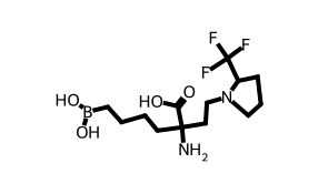 NC(CCCCB(O)O)(CCN1CCCC1C(F)(F)F)C(=O)O